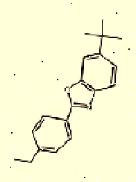 CCc1ccc(-c2nc3ccc(C(C)(C)C)cc3o2)cc1